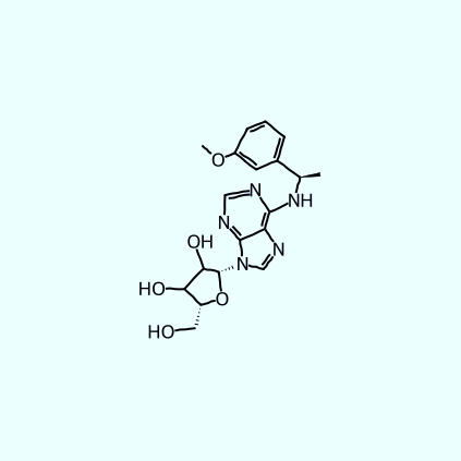 COc1cccc([C@@H](C)Nc2ncnc3c2ncn3[C@@H]2O[C@H](CO)C(O)C2O)c1